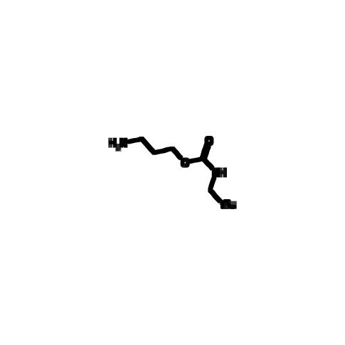 CC(C)(C)CNC(=O)OCCCN